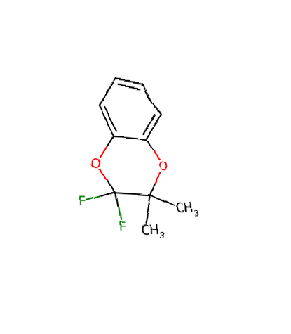 CC1(C)Oc2ccccc2OC1(F)F